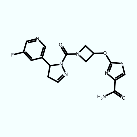 NC(=O)c1csc(OC2CN(C(=O)N3N=CCC3c3cncc(F)c3)C2)n1